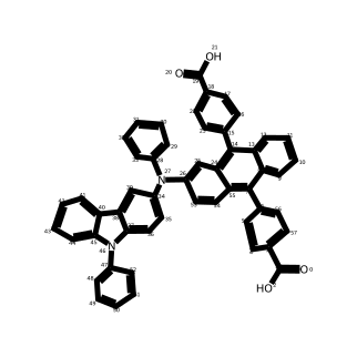 O=C(O)c1ccc(-c2c3ccccc3c(-c3ccc(C(=O)O)cc3)c3cc(N(c4ccccc4)c4ccc5c(c4)c4ccccc4n5-c4ccccc4)ccc23)cc1